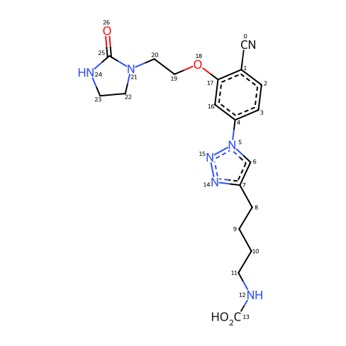 N#Cc1ccc(-n2cc(CCCCNC(=O)O)nn2)cc1OCCN1CCNC1=O